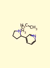 CC.CN1CCCC1c1cccnc1